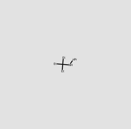 CCCNC(CC)(CC)CC